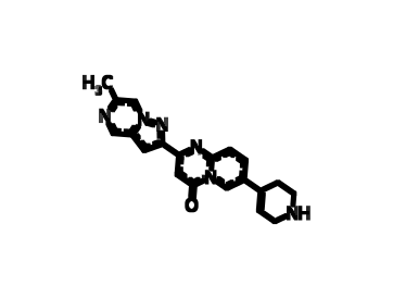 Cc1cn2nc(-c3cc(=O)n4cc(C5=CCNCC5)ccc4n3)cc2cn1